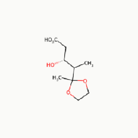 CC([C@H](O)CC(=O)O)C1(C)OCCO1